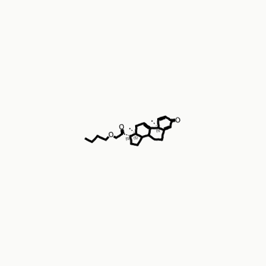 CCCCOCC(=O)[C@H]1CCC2C3CCC4=CC(=O)C=C[C@]4(C)C3=CC[C@@]21C